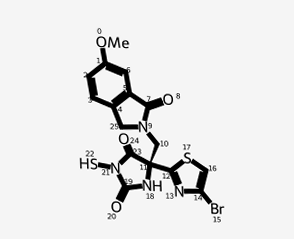 COc1ccc2c(c1)C(=O)N(C[C@@]1(c3nc(Br)cs3)NC(=O)N(S)C1=O)C2